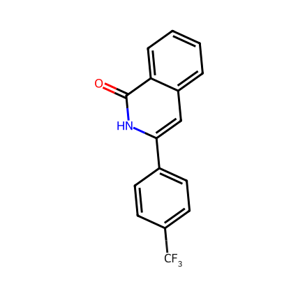 O=c1[nH]c(-c2ccc(C(F)(F)F)cc2)cc2ccccc12